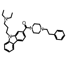 CCN(CC)CCCn1c2ccccc2c2ccc(C(=O)N3CCN(CCc4ccccc4)CC3)cc21